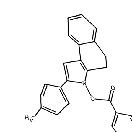 Cc1ccc(-c2cc3c(n2OC(=O)c2ccccc2)CCc2ccccc2-3)cc1